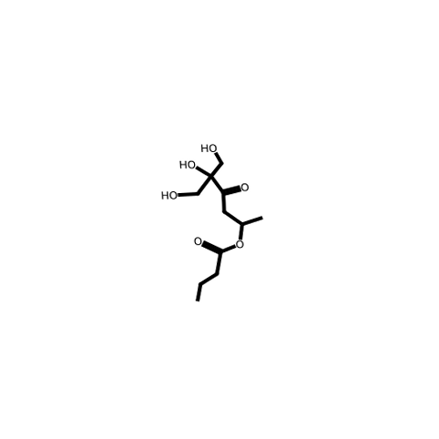 CCCC(=O)OC(C)CC(=O)C(O)(CO)CO